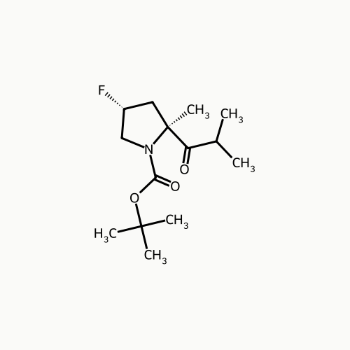 CC(C)C(=O)[C@]1(C)C[C@@H](F)CN1C(=O)OC(C)(C)C